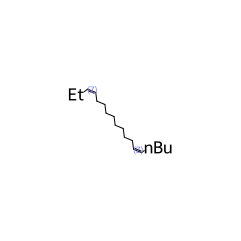 CC/C=C\CCCCCCCC/C=C\CCCC